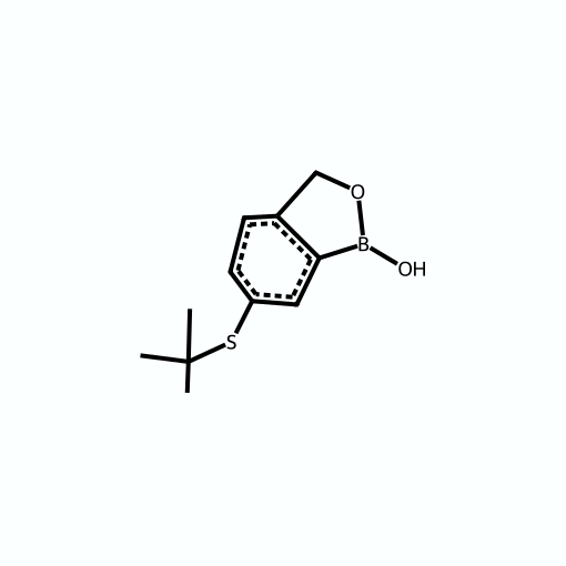 CC(C)(C)Sc1ccc2c(c1)B(O)OC2